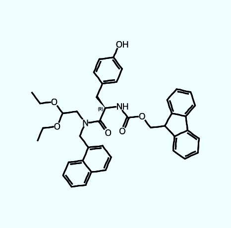 CCOC(CN(Cc1cccc2ccccc12)C(=O)[C@@H](Cc1ccc(O)cc1)NC(=O)OCC1c2ccccc2-c2ccccc21)OCC